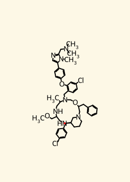 COCC1CNC2(Cc3ccc(Cl)cc3)CCCN(CC(Cc3ccccc3)OCN(Cc3ccc(Cl)cc3Oc3ccc(-c4cnc(CN(C)C)n4C)cc3)C(C)CN1)C2